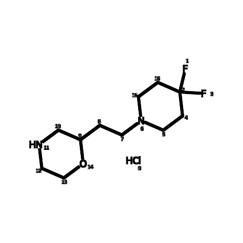 Cl.FC1(F)CCN(CCC2CNCCO2)CC1